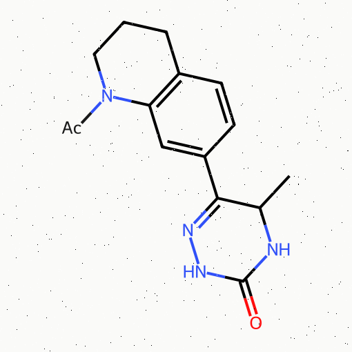 CC(=O)N1CCCc2ccc(C3=NNC(=O)NC3C)cc21